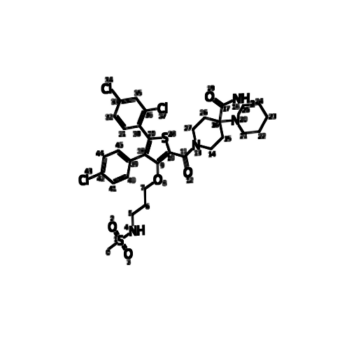 CS(=O)(=O)NCCCOc1c(C(=O)N2CCC(C(N)=O)(N3CCCCC3)CC2)sc(-c2ccc(Cl)cc2Cl)c1-c1ccc(Cl)cc1